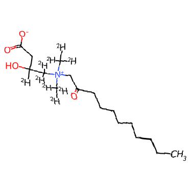 [2H]C(O)(CC(=O)[O-])C([2H])([2H])[N+](CC(=O)CCCCCCCCC)(C([2H])([2H])[2H])C([2H])([2H])[2H]